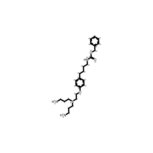 NCCCN(CCCN)CCOc1ccc(CCCCNC(=O)OCc2ccccc2)cc1